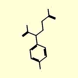 O=C(O)CCC(C(=O)O)c1ccc(Br)cc1